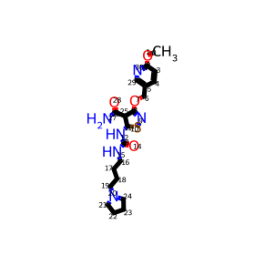 COc1ccc(COC2=NSC(NC(=O)NCCCCN3CCCC3)C2C(N)=O)cn1